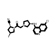 N#C[C@@H]1C[C@H](F)CN1C(=O)CN1CC[C@@H](Nc2ccnc3ccc(Cl)cc23)C1